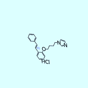 C(=C\c1ccccc1OCCCCn1ccnc1)/c1ccccc1.Cl